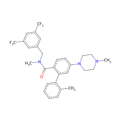 Cc1ccccc1-c1cc(N2CCN(C)CC2)ccc1C(=O)N(C)Cc1cc(C(F)(F)F)cc(C(F)(F)F)c1